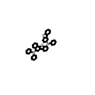 c1ccc(N(c2ccccc2)c2cc3c4cccc(N(c5ccccc5)c5ccc6sc7ccccc7c6c5)c4sc3c3ccccc23)cc1